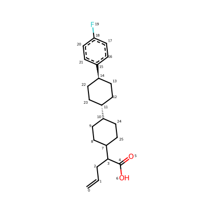 C=CCC(C(=O)O)C1CCC([C@H]2CC[C@H](c3ccc(F)cc3)CC2)CC1